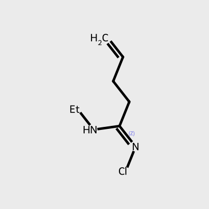 C=CCC/C(=N/Cl)NCC